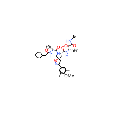 CCC[C@H](NC(=O)[C@@H]1C[C@]2(CC(c3cc(C)c(OC)c(C)c3)=NO2)CN1C(=O)[C@@H](NC(=O)CC1CCCCC1)C(C)(C)C)C(=O)C(=O)NC1CC1